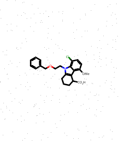 COc1ccc(Cl)c2c1c1c(n2CCOCc2ccccc2)CCCC1C(=O)O